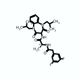 CC(C)CN1C(=O)C(NC(=O)[C@H](C)NC(=O)Cc2cc(F)cc(F)c2)C(=O)N(CC(C)C)c2ccccc21